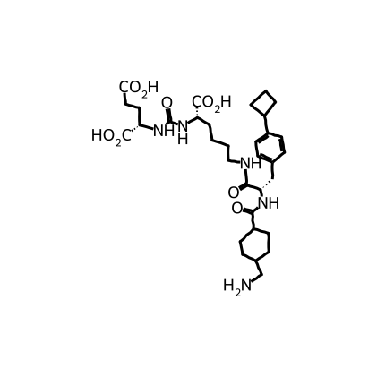 NCC1CCC(C(=O)N[C@@H](Cc2ccc(C3CCC3)cc2)C(=O)NCCCC[C@H](NC(=O)N[C@@H](CCC(=O)O)C(=O)O)C(=O)O)CC1